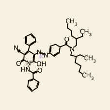 CCCCC(CC)CN(CC(CC)CCCC)C(=O)C1C=CC(/N=N/c2c(-c3ccccc3)c(C#N)c(=O)n(NC(=O)c3ccccc3)c2O)=CC1